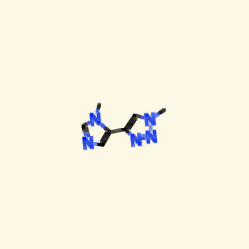 Cn1cc(-c2cncn2C)nn1